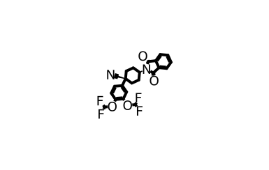 N#C[C@]1(c2ccc(OC(F)F)c(OC(F)F)c2)CC[C@@H](N2C(=O)c3ccccc3C2=O)CC1